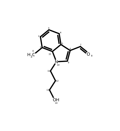 Cc1cccc2c(C=O)cn(CCCO)c12